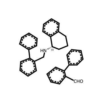 O=Cc1ccccc1-c1ccccc1.c1ccc(-c2ccccc2CN[C@H]2CCCc3ccccc32)cc1